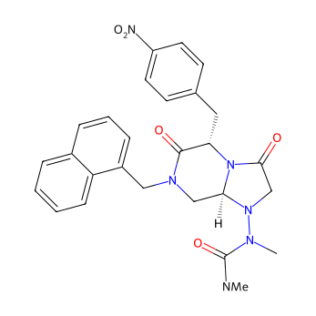 CNC(=O)N(C)N1CC(=O)N2[C@@H](Cc3ccc([N+](=O)[O-])cc3)C(=O)N(Cc3cccc4ccccc34)C[C@@H]21